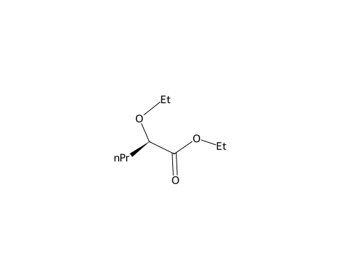 CCC[C@@H](OCC)C(=O)OCC